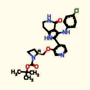 CC(C)(C)OC(=O)N1CC[C@@H]1COc1cnccc1-c1[nH]c2c(c1Nc1ccc(Cl)cc1)C(=O)NCC2